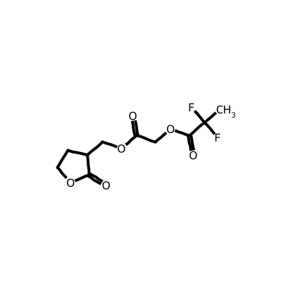 CC(F)(F)C(=O)OCC(=O)OCC1CCOC1=O